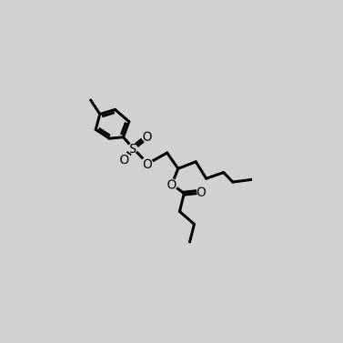 CCCCCC(COS(=O)(=O)c1ccc(C)cc1)OC(=O)CCC